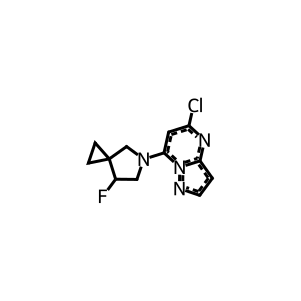 FC1CN(c2cc(Cl)nc3ccnn23)CC12CC2